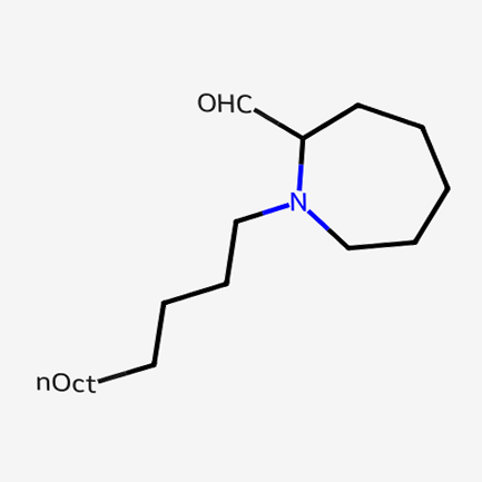 CCCCCCCCCCCCN1CCCCCC1C=O